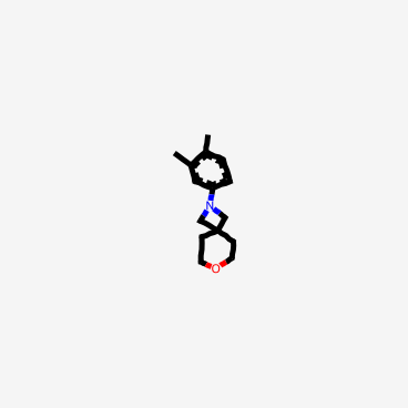 Cc1ccc(N2CC3(CCOCC3)C2)cc1C